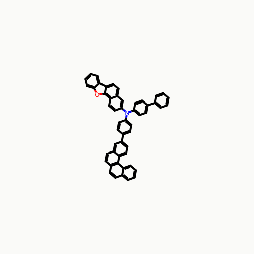 c1ccc(-c2ccc(N(c3ccc(-c4ccc5c(ccc6ccc7ccccc7c65)c4)cc3)c3ccc4c(ccc5c6ccccc6oc45)c3)cc2)cc1